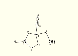 CN1CCC(C#N)(CO)C1